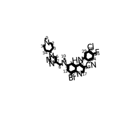 CN1CCC(n2cc(CN(C)c3cc(Br)c4ncc(C#N)c(Nc5ccc(F)c(Cl)c5)c4c3)nn2)CC1